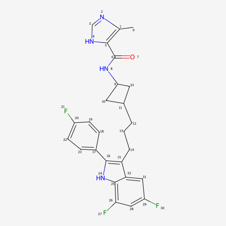 Cc1nc[nH]c1C(=O)NC1CC(CCCc2c(-c3ccc(F)cc3)[nH]c3c(F)cc(F)cc23)C1